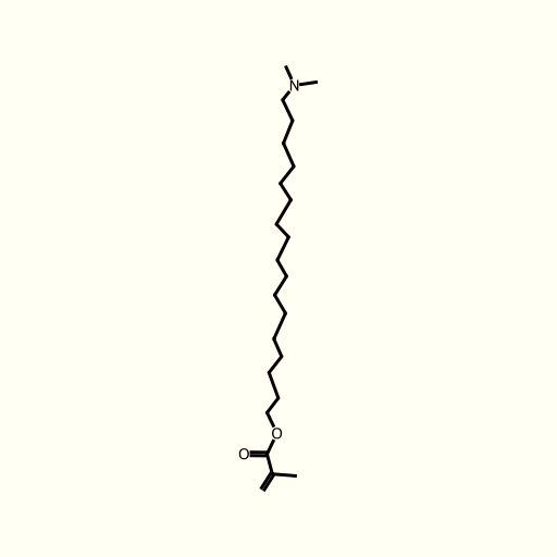 C=C(C)C(=O)OCCCCCCCCCCCCCCCCCN(C)C